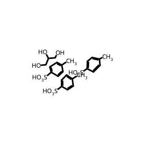 Cc1ccc(S(=O)(=O)O)cc1.Cc1ccc(S(=O)(=O)O)cc1.Cc1ccc(S(=O)(=O)O)cc1.OCC(O)CO